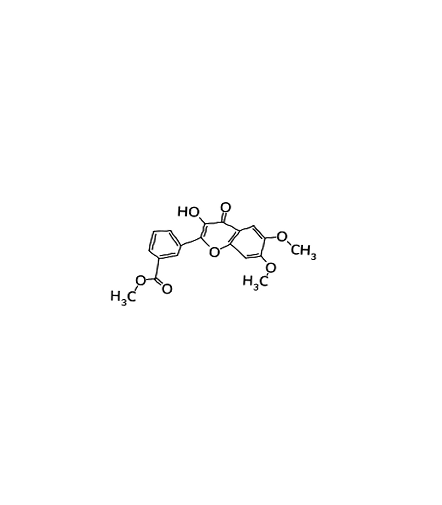 COC(=O)c1cccc(-c2oc3cc(OC)c(OC)cc3c(=O)c2O)c1